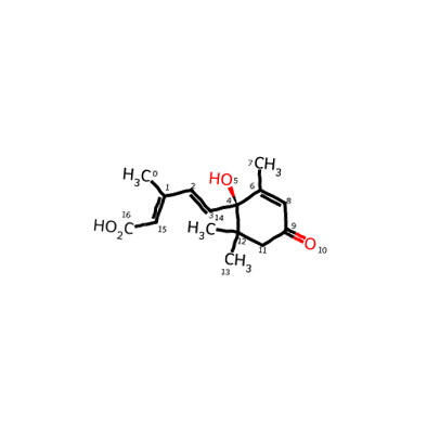 CC(C=C[C@]1(O)C(C)=CC(=O)CC1(C)C)=CC(=O)O